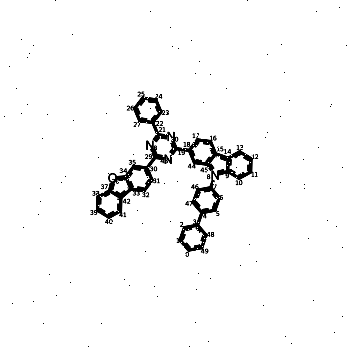 c1ccc(-c2ccc(-n3c4ccccc4c4ccc(-c5nc(-c6ccccc6)nc(-c6ccc7c(c6)oc6ccccc67)n5)cc43)cc2)cc1